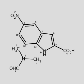 CN(C)C=O.O=C(O)c1cc2cc([N+](=O)[O-])ccc2[nH]1